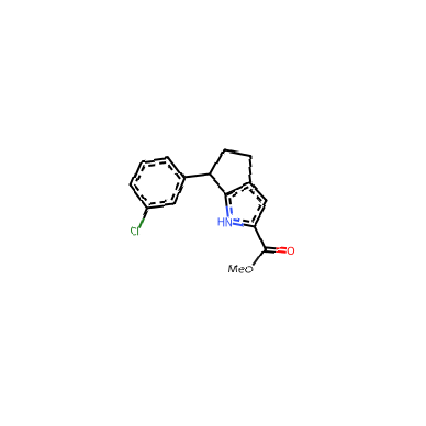 COC(=O)c1cc2c([nH]1)C(c1cccc(Cl)c1)CC2